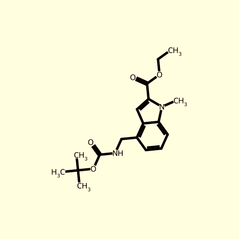 CCOC(=O)c1cc2c(CNC(=O)OC(C)(C)C)cccc2n1C